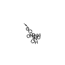 CC#CCOc1ccc2c(c1)C(=O)N(C[C@@]1(c3ccccc3)NC(=O)NC1=O)C2